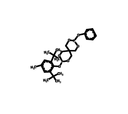 Cc1cc(C(C)(C)C)c(OP2OCC3(COP(Oc4ccccc4)OC3)CO2)c(C(C)(C)C)c1